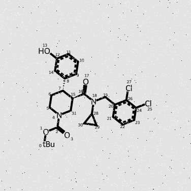 CC(C)(C)OC(=O)N1CC[C@H](c2cccc(O)c2)[C@@H](C(=O)N(Cc2cccc(Cl)c2Cl)C2CC2)C1